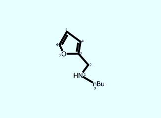 CCCCNCc1ccco1